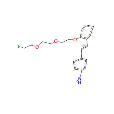 CNc1ccc(/C=C/c2ccccc2OCCOCCOCCF)cc1